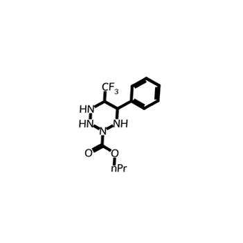 CCCOC(=O)N1NNC(C(F)(F)F)C(c2ccccc2)N1